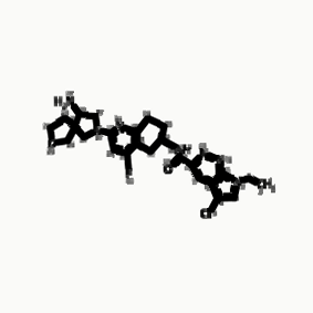 CCn1cc(Cl)c2cc(C(=O)NC3CCc4nc(N5CC(N)C6(CCOC6)C5)cc(F)c4C3)nnc21